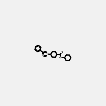 O=C(NC1CCCCC1)C1CCC(n2cnc(-c3ccccc3)c2)CC1